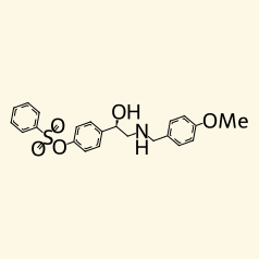 COc1ccc(CNC[C@H](O)c2ccc(OS(=O)(=O)c3ccccc3)cc2)cc1